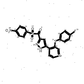 O=C(c1cc(-c2ccncc2Sc2ccc(F)cc2)[nH]n1)S(=O)(=O)c1ccc([N+](=O)[O-])cc1